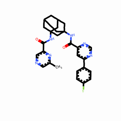 Cc1cncc(C(=O)NC23CC4CC(CC(NC(=O)c5cc(-c6ccc(F)cc6)ncn5)(C4)C2)C3)n1